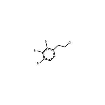 ClCCc1ccc(Br)c(Br)c1Br